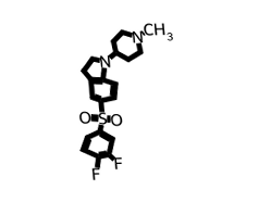 CN1CCC(N2CCc3cc(S(=O)(=O)c4ccc(F)c(F)c4)ccc32)CC1